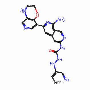 CN/C=C(\C=N)NNC(=O)Nc1cc2cc(-c3cncc4c3OCCN4)nc(N)c2cn1